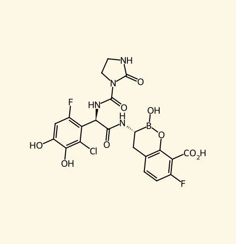 O=C(O)c1c(F)ccc2c1OB(O)[C@@H](NC(=O)[C@H](NC(=O)N1CCNC1=O)c1c(F)cc(O)c(O)c1Cl)C2